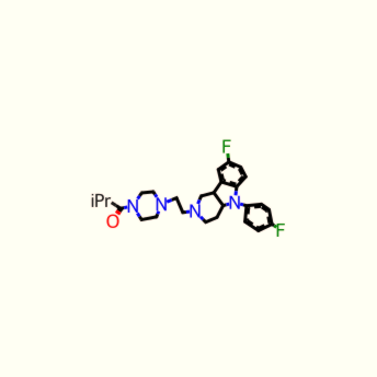 CC(C)C(=O)N1CCN(CCN2CCC3C(C2)c2cc(F)ccc2N3c2ccc(F)cc2)CC1